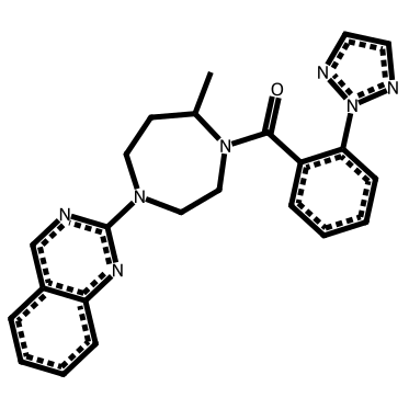 CC1CCN(c2ncc3ccccc3n2)CCN1C(=O)c1ccccc1-n1nccn1